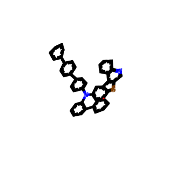 c1ccc(-c2ccc(-c3ccc(N(c4ccc5sc6cnc7ccccc7c6c5c4)c4ccccc4-c4ccccc4)cc3)cc2)cc1